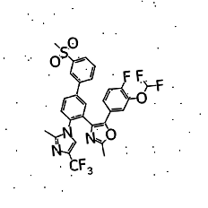 Cc1nc(-c2cc(-c3cccc(S(C)(=O)=O)c3)ccc2-n2cc(C(F)(F)F)nc2C)c(-c2ccc(F)c(OC(F)F)c2)o1